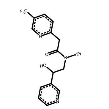 CCCN(CC(O)c1cccnc1)C(=O)Cc1ccc(C(F)(F)F)cn1